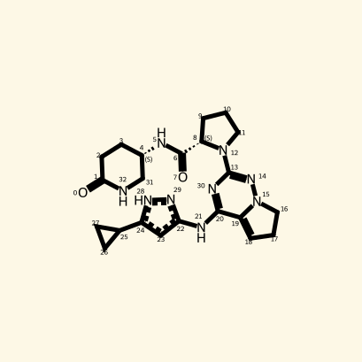 O=C1CC[C@H](NC(=O)[C@@H]2CCCN2C2=NN3CCC=C3C(Nc3cc(C4CC4)[nH]n3)=N2)CN1